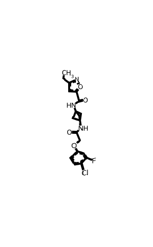 CCc1cc(C(=O)NC23CC(NC(=O)COc4ccc(Cl)c(F)c4)(C2)C3)on1